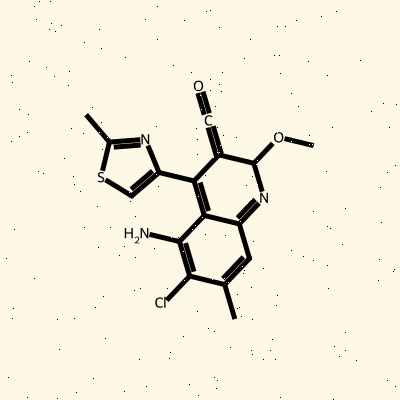 COC1N=c2cc(C)c(Cl)c(N)c2=C(c2csc(C)n2)C1=C=O